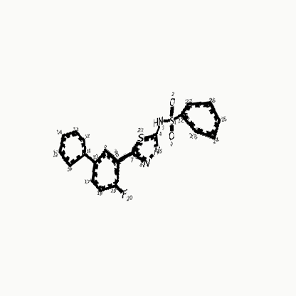 O=S(=O)(Nc1nnc(-c2cc(-c3ccccc3)ccc2F)s1)c1ccccc1